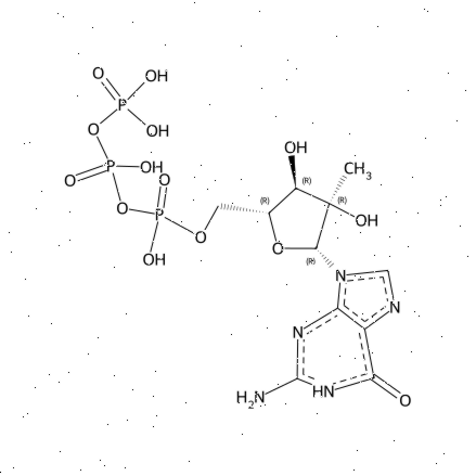 C[C@@]1(O)[C@H](O)[C@@H](COP(=O)(O)OP(=O)(O)OP(=O)(O)O)O[C@H]1n1cnc2c(=O)[nH]c(N)nc21